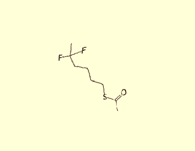 CC(=O)SCCCCC(C)(F)F